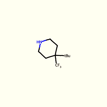 CC(C)(C)C1(C(F)(F)F)CCNCC1